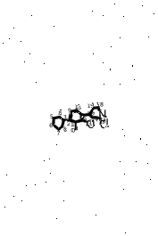 Cc1c(-c2ccccc2)ccc2c1oc1c(Cl)nccc12